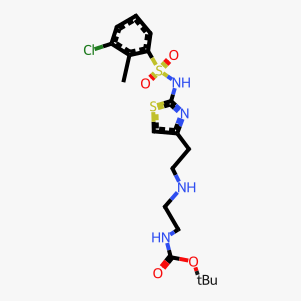 Cc1c(Cl)cccc1S(=O)(=O)Nc1nc(CCNCCNC(=O)OC(C)(C)C)cs1